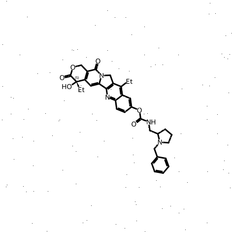 CCc1c2c(nc3ccc(OC(=O)NCC4CCCN4Cc4ccccc4)cc13)-c1cc3c(c(=O)n1C2)COC(=O)[C@]3(O)CC